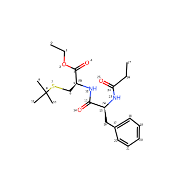 CCOC(=O)[C@H](CSC(C)(C)C)NC(=O)[C@H](Cc1ccccc1)NC(=O)CC